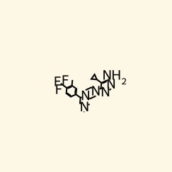 Cc1cc(C(CN(C)C)N2CCN(c3ncnc(N)c3C3CC3)CC2)ccc1C(F)(F)F